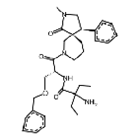 CCC(N)(CC)C(=O)N[C@H](COCc1ccccc1)C(=O)N1CCC[C@@]2(C1)C(=O)N(C)C[C@H]2c1ccccc1